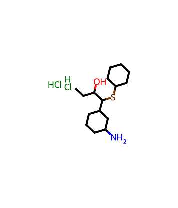 CCC(O)C(SC1CCCCC1)C1CCCC(N)C1.Cl.Cl